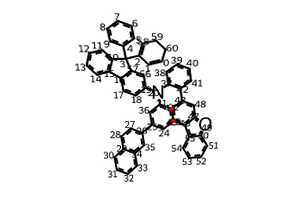 C1=CC(C2(c3ccccc3)c3ccccc3-c3ccc(N(c4cccc(-c5ccc6ccccc6c5)c4)c4ccccc4-c4ccc5c(c4)oc4ccccc45)cc32)=CCC1